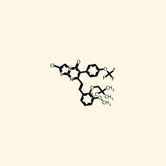 COc1cccc(C=Cc2nc3sc(Cl)cn3c(=O)c2-c2ccc(OC(F)(F)F)cc2)c1OCC(C)(C)C